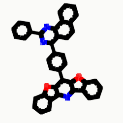 c1ccc(-c2nc(-c3ccc(-c4c5oc6ccccc6c5nc5c4oc4ccccc45)cc3)c3ccc4ccccc4c3n2)cc1